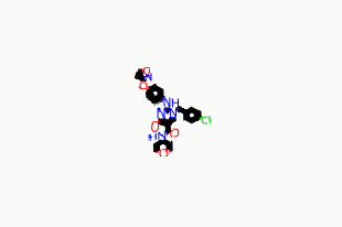 O=C(NC1CCOCC1)c1cn(Cc2ccc(Cl)cc2)c(Nc2ccc(Oc3ccon3)cc2)nc1=O